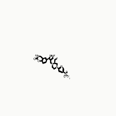 O=C1NCc2cc(-c3n[nH]cc3CN3CCN(c4ccc(S(=O)(=O)C(F)(F)F)cn4)CC3CF)ccc2O1